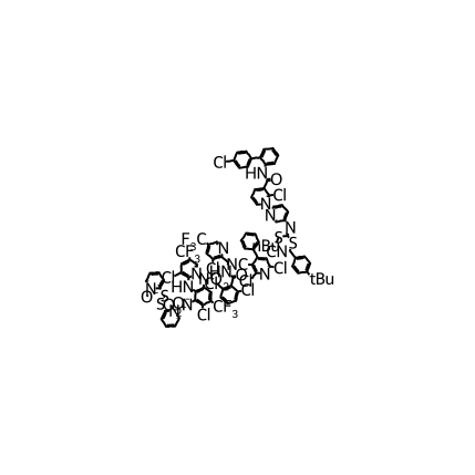 CCCCS/C(=N\c1cccnc1)SCc1ccc(C(C)(C)C)cc1.N#Cc1c(Cl)nc(Cl)c(C#N)c1-c1ccccc1.O=C(NCc1ncc(C(F)(F)F)cc1Cl)c1c(Cl)cccc1Cl.O=C(Nc1ccccc1-c1ccc(Cl)cc1)c1cccnc1Cl.O=[N+]([O-])c1cc(C(F)(F)F)c(Cl)c([N+](=O)[O-])c1Nc1ncc(C(F)(F)F)cc1Cl.[O-][n+]1ccccc1SSc1cccc[n+]1[O-]